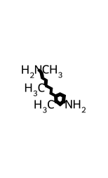 C/C(N)=C\C=C(/C)CCc1ccc(N)cc1C